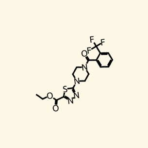 CCOC(=O)c1nnc(N2CCN(C(=O)c3ccccc3C(F)(F)F)CC2)s1